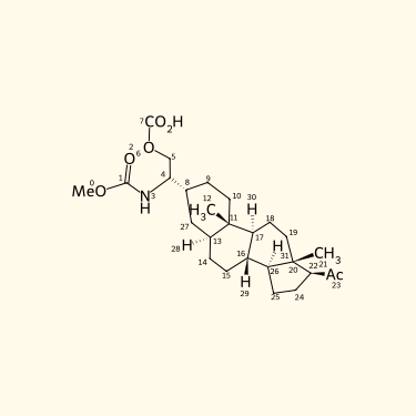 COC(=O)NC(COC(=O)O)[C@@H]1CC[C@@]2(C)[C@@H](CC[C@@H]3[C@@H]2CC[C@]2(C)[C@@H](C(C)=O)CC[C@@H]32)C1